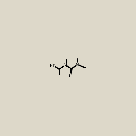 CCC(C)NC(=O)N(C)C